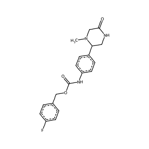 CN1CC(=O)NCC1c1ccc(NC(=O)OCc2ccc(F)cc2)cc1